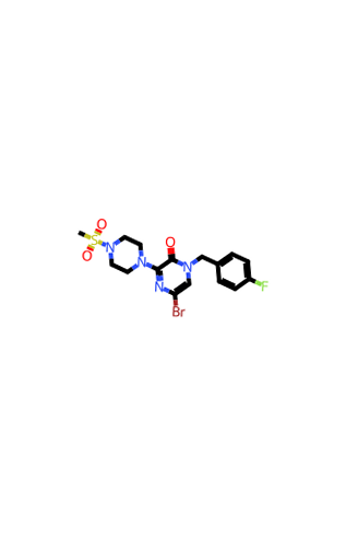 CS(=O)(=O)N1CCN(c2nc(Br)cn(Cc3ccc(F)cc3)c2=O)CC1